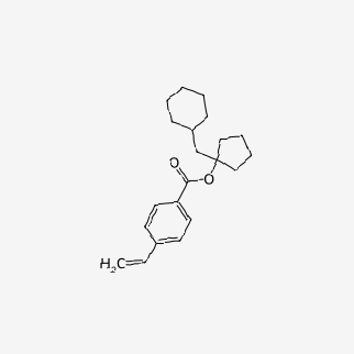 C=Cc1ccc(C(=O)OC2(CC3CCCCC3)CCCC2)cc1